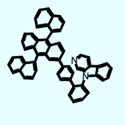 c1ccc(-n2c3ccccc3c3ccncc32)c(-c2ccc(-c3ccc4c(-c5cccc6ccccc56)c5ccccc5c(-c5cccc6ccccc56)c4c3)cc2)c1